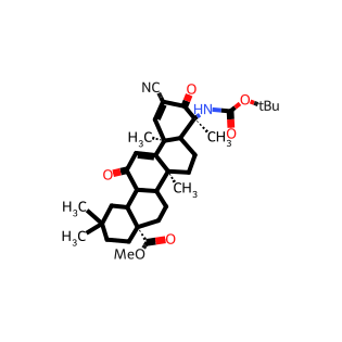 COC(=O)[C@@]12CCC3C(C(=O)C=C4[C@@]5(C)C=C(C#N)C(=O)[C@@](C)(NC(=O)OC(C)(C)C)C5CC[C@]43C)C1CC(C)(C)CC2